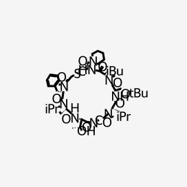 CC[C@H](C)[C@H]1C(=O)N[C@H](C(=O)N2CCCCC2)CSCC(=O)N(C)[C@@H](Cc2ccccc2)C(=O)N(C)[C@@H](CC(C)C)C(=O)N[C@@H]([C@@H](C)O)C(=O)N(C)CC(=O)N(C)[C@@H](CC(C)C)C(=O)NC(COC(C)(C)C)C(=O)N1C